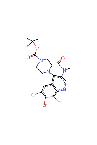 CN(C=O)c1cnc2c(F)c(Br)c(Cl)cc2c1N1CCN(C(=O)OC(C)(C)C)CC1